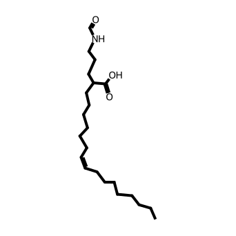 CCCCCCCC/C=C\CCCCCCC(CCCNC=O)C(=O)O